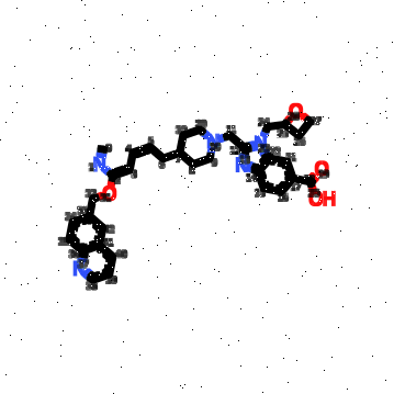 C=N/C(=C\C=C/CC1CCN(Cc2nc3ccc(C(=O)O)cc3n2CC2CCO2)CC1)OCc1ccc2ncccc2c1